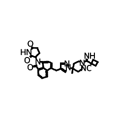 CC1(n2cc(Cc3ccc4c5c(cccc35)C(=O)N4C3CCC(=O)NC3=O)cn2)CCN(C(=N)C2(C#N)CCC2)CC1